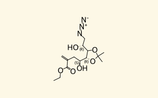 C=C(C[C@H](O)[C@H]1OC(C)(C)OC1[C@H](O)CN=[N+]=[N-])C(=O)OCC